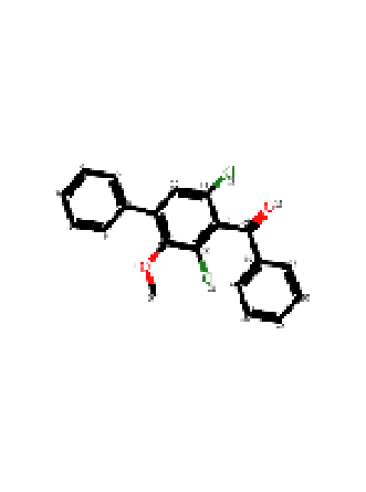 COc1c(-c2ccccc2)cc(Cl)c(C(=O)c2ccccc2)c1Cl